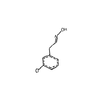 ON=[C]Cc1cccc(Cl)c1